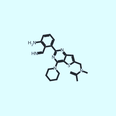 C=C(C)N(C)Cc1cc2nc(-c3cccc(N)c3C=N)nc(N3CCCCC3)c2s1